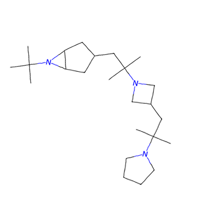 CC(C)(C)N1C2CC(CC(C)(C)N3CC(CC(C)(C)N4CCCC4)C3)CC21